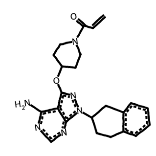 C=CC(=O)N1CCC(Oc2nn(C3CCc4ccccc4C3)c3ncnc(N)c23)CC1